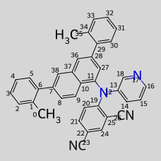 Cc1ccccc1-c1ccc2c(N(c3cccnc3)c3ccc(C#N)cc3C#N)cc(-c3ccccc3C)cc2c1